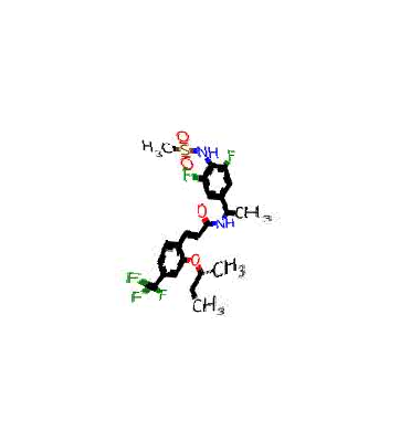 CC[C@@H](C)Oc1cc(C(F)(F)F)ccc1C=CC(=O)NC(C)c1cc(F)c(NS(C)(=O)=O)c(F)c1